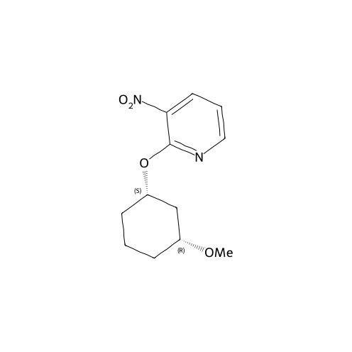 CO[C@@H]1CCC[C@H](Oc2ncccc2[N+](=O)[O-])C1